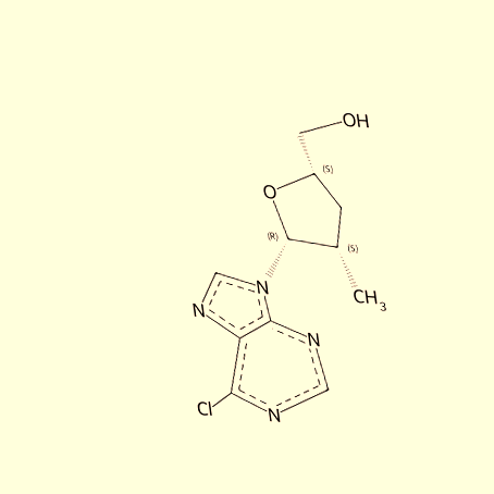 C[C@H]1C[C@@H](CO)O[C@H]1n1cnc2c(Cl)ncnc21